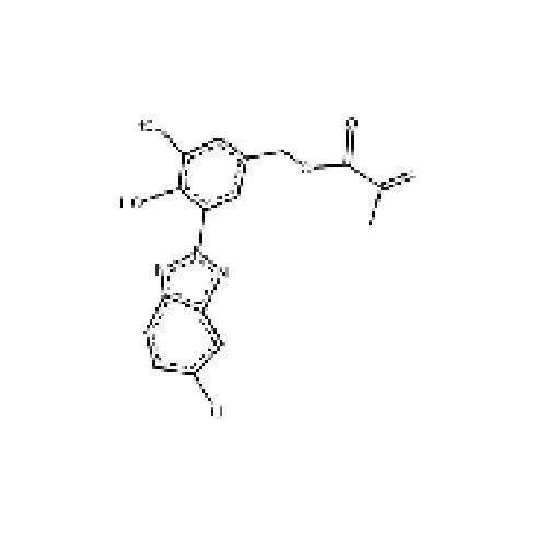 C=C(C)C(=O)OCc1cc(-n2nc3ccc(Cl)cc3n2)c(O)c(C(C)(C)C)c1